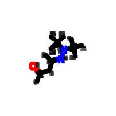 CC(=O)C/C(C)=N/N([Si](C)(C)C)[Si](C)(C)C